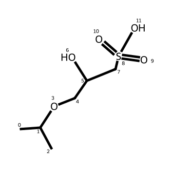 CC(C)OCC(O)CS(=O)(=O)O